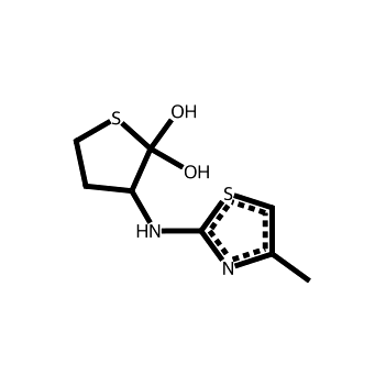 Cc1csc(NC2CCSC2(O)O)n1